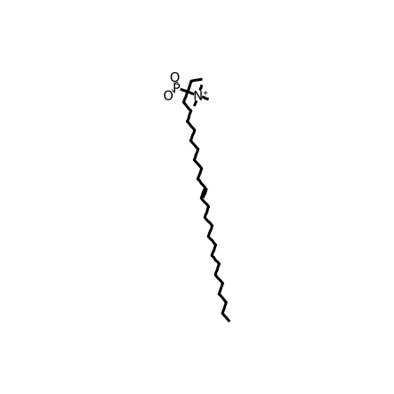 CCCCCCCCCCCCCC=CCCCCCCCCCC(CC)(P(=O)=O)[N+](C)(C)C